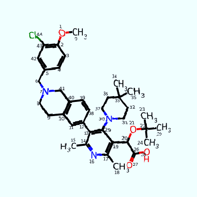 COc1ccc(CN2CCc3cc(-c4c(C)nc(C)c(C(OC(C)(C)C)C(=O)O)c4N4CCC(C)(C)CC4)ccc3C2)cc1Cl